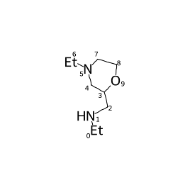 CCNCC1CN(CC)CCO1